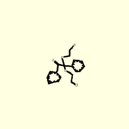 O=C(c1ccccc1)C(OCCCl)(OCCCl)c1ccccc1